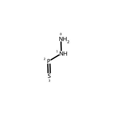 NNP=S